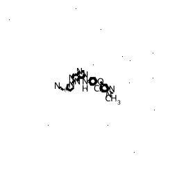 Cn1cnc2cc(Oc3ccc(Nc4ncnc5cnc(N6CC[C@H](CC#N)C6)nc45)cc3Cl)ccc21